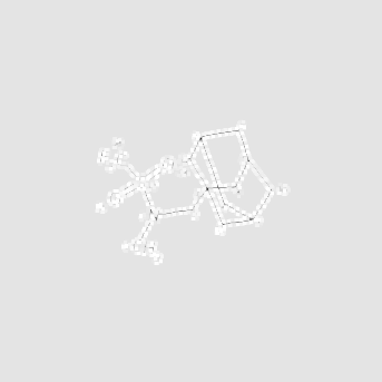 CN(CC12CC3CC(CC(C3)C1)C2)S(=O)(=O)C(F)(F)F